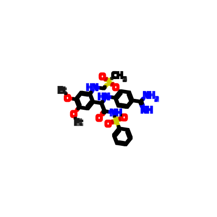 CCOc1cc(NCS(C)(=O)=O)c(C(Nc2ccc(C(=N)N)cc2)C(=O)NS(=O)(=O)c2ccccc2)cc1OCC